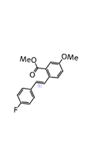 COC(=O)c1cc(OC)ccc1/C=C/c1ccc(F)cc1